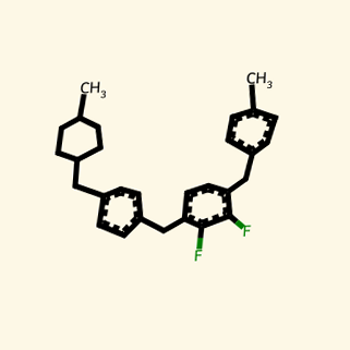 Cc1ccc(Cc2ccc(Cc3ccc(CC4CCC(C)CC4)cc3)c(F)c2F)cc1